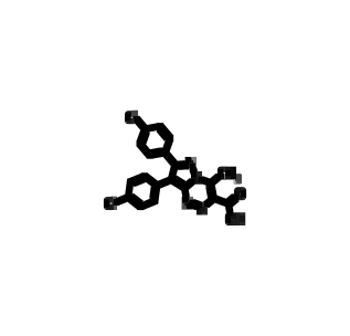 Cc1c(C(=O)O)nnc2c(-c3ccc(Cl)cc3)c(-c3ccc(Cl)cc3)nn12